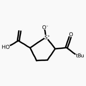 C=C(O)C1CCC(C(=O)C(C)(C)C)[S+]1[O-]